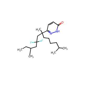 CCC(C)CC(F)(F)CC(C)(CCCCC(C)C)c1ccc(=O)[nH]n1